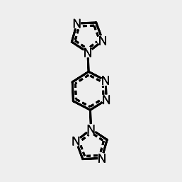 c1ncn(-c2ccc(-n3cncn3)nn2)n1